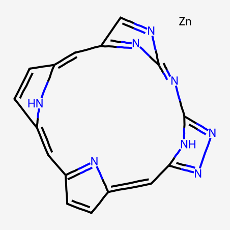 C1=Cc2cc3nnc(nc4nc(cc5ccc(cc1n2)[nH]5)C=N4)[nH]3.[Zn]